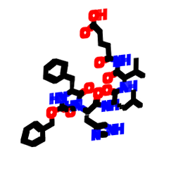 CC(C)C[C@H](NC(=O)[C@H](Cc1c[nH]cn1)NC(=O)[C@H](Cc1ccccc1)NC(=O)OCc1ccccc1)C(=O)N[C@H](C(=O)NC(=O)CCCC(=O)O)C(C)C